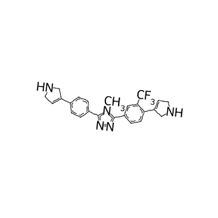 Cn1c(-c2ccc(C3=CCNC3)cc2)nnc1-c1ccc(C2=CCNC2)c(C(F)(F)F)c1